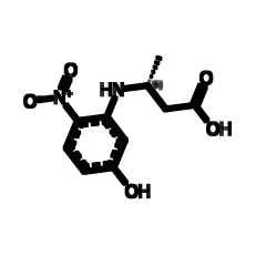 C[C@H](CC(=O)O)Nc1cc(O)ccc1[N+](=O)[O-]